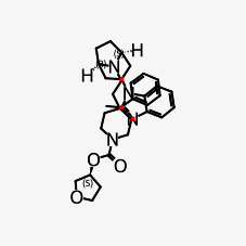 Cc1nc2ccccc2n1C1C[C@H]2CC[C@@H](C1)N2CCC1(c2ccccc2)CCN(C(=O)O[C@H]2CCOC2)CC1